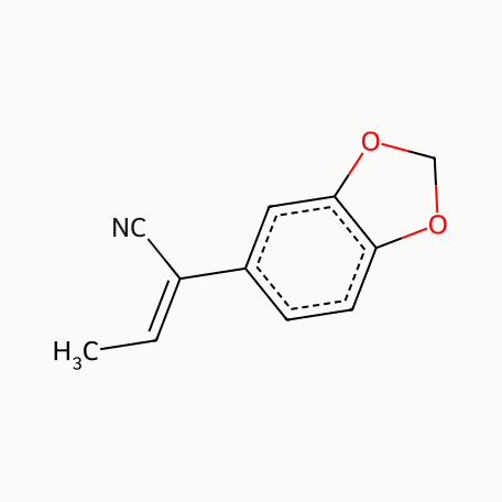 C/C=C(\C#N)c1ccc2c(c1)OCO2